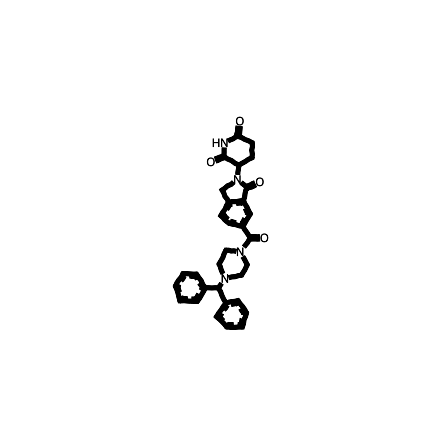 O=C1CCC(N2Cc3ccc(C(=O)N4CCN(C(c5ccccc5)c5ccccc5)CC4)cc3C2=O)C(=O)N1